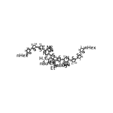 CCCCCCc1ccc(-c2ccc(-c3ccc(-c4ncc(-c5cc6c(s5)-c5sc(-c7cnc(-c8ccc(-c9ccc(-c%10ccc(CCCCCC)s%10)s9)s8)c8nsnc78)c(C(C)C(C)CCCC)c5[Si@H]6C[C@H](CC)CCCC)c5nsnc45)s3)s2)s1